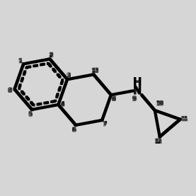 c1ccc2c(c1)CCC(NC1CC1)C2